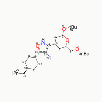 CCCCOCCCC(CC(=O)OC(C)(C)C)c1noc([C@H]2CC[C@H](CC(C)C)CC2)c1I